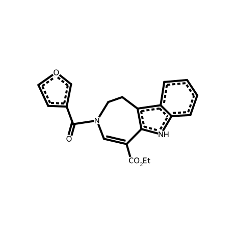 CCOC(=O)C1=CN(C(=O)c2ccoc2)CCc2c1[nH]c1ccccc21